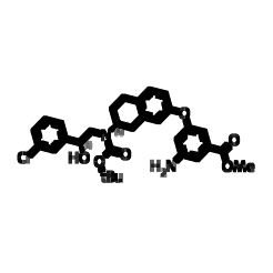 COC(=O)c1cc(N)cc(Oc2ccc3c(c2)C[C@@H](N(C[C@@H](O)c2cccc(Cl)c2)C(=O)OC(C)(C)C)CC3)c1